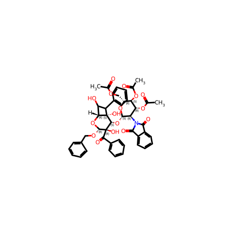 CC(=O)OC[C@H]1O[C@@H](O[C@@H]2[C@](O)(C(=O)c3ccccc3)[C@H](OCc3ccccc3)O[C@@H]3C(O)C(c4ccccc4)[C@]32O)[C@H](N2C(=O)c3ccccc3C2=O)[C@@H](OC(C)=O)[C@@H]1OC(C)=O